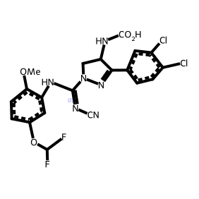 COc1ccc(OC(F)F)cc1N/C(=N/C#N)N1CC(NC(=O)O)C(c2ccc(Cl)c(Cl)c2)=N1